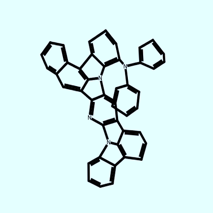 c1ccc(N(c2ccccc2)c2cccc3c4c5ccccc5cc5c6nc7c(cc6n(c23)c54)c2cccc3c4ccccc4n7c32)cc1